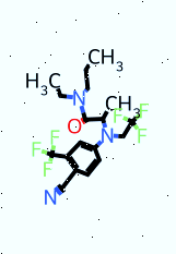 CCCN(CC)C(=O)C(C)N(CC(F)(F)F)c1ccc(C#N)c(C(F)(F)F)c1